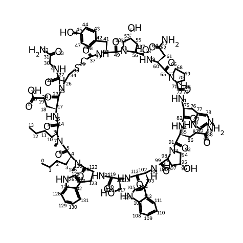 CCCC[C@H]1C(=O)N(C)[C@@H](CCCC)C(=O)N[C@@H](CCC(=O)O)C(=O)N[C@H](C(=O)NCC(N)=O)CSCC(=O)N[C@@H](Cc2ccc(O)cc2)C(=O)N2C[C@H](O)C[C@H]2C(=O)N[C@@H](CC(N)=O)C(=O)N2CCC[C@H]2C(=O)N[C@@H](Cc2cnc[nH]2)C(=O)N[C@@H](CCC(N)=O)C(=O)N2C[C@H](O)C[C@H]2C(=O)N[C@@H](Cc2c[nH]c3ccccc23)C(=O)N[C@@H](CO)C(=O)N[C@@H](Cc2c[nH]c3ccccc23)C(=O)N1C